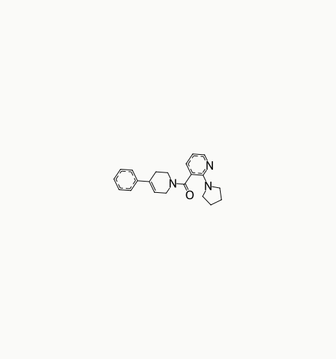 O=C(c1cccnc1N1CCCC1)N1CC=C(c2ccccc2)CC1